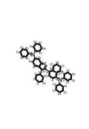 c1ccc(-c2c(-c3ccc(N(c4ccccc4)c4ccccc4)c4ccccc34)sc3cc(N(c4ccccc4)c4ccccc4)ccc23)cc1